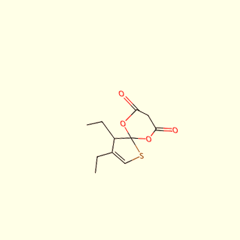 CCC1=CSC2(OC(=O)CC(=O)O2)C1CC